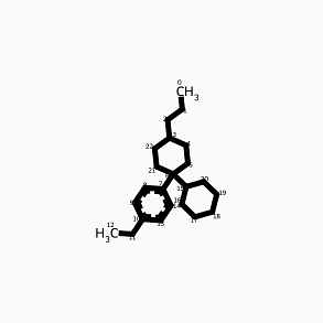 CCCC1CCC(c2ccc(CC)cc2)(C2CCCCC2)CC1